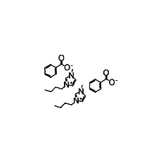 CCCC[n+]1ccn(C)c1.CCCC[n+]1ccn(C)c1.O=C([O-])c1ccccc1.O=C([O-])c1ccccc1